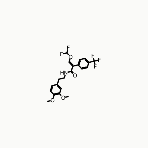 COc1ccc(CCNC(=O)C(=COC(F)F)c2ccc(C(F)(F)F)cc2)cc1OC